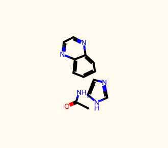 CC(N)=O.c1c[nH]cn1.c1ccc2nccnc2c1